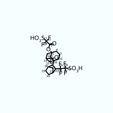 O=C1OC2CC3(OC(=O)C(F)(F)S(=O)(=O)O)CC1CC(C1C4CCC(C4)C1C(F)(F)C(F)(F)S(=O)(=O)O)(C2)C3